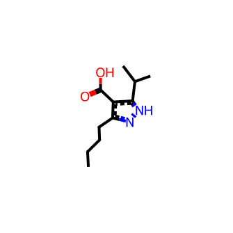 CCCCc1n[nH]c(C(C)C)c1C(=O)O